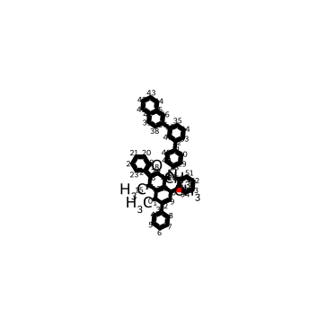 CC1C(c2ccccc2)=CC2(C)C3=C1C(C)c1c(oc4ccccc14)C3(C)N(c1ccc(-c3cccc(-c4ccc5ccccc5c4)c3)cc1)c1ccccc12